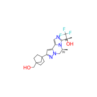 C[C@H]1Cn2nc(C34CCC(CO)(CC3)C4)cc2-c2cnc([C@@](C)(O)C(F)(F)F)n21